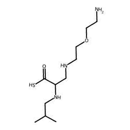 CC(C)CNC(CNCCOCCN)C(=O)S